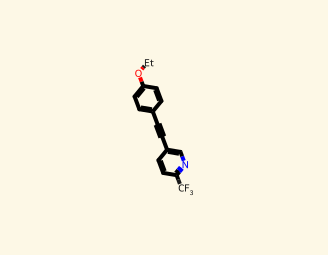 CCOc1ccc(C#Cc2ccc(C(F)(F)F)nc2)cc1